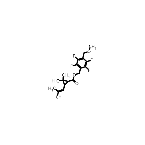 COCc1c(F)c(F)c(COC(=O)C2C(C=C(C)C)C2(C)C)c(F)c1F